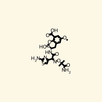 COc1cc2c(c(C(=O)O)c1)OB(O)[C@@H](NC(=O)/C(=N\OC(C)(C)C(N)=O)c1csc(N)n1)C2